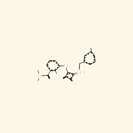 Cc1cccc([C@H](Nc2c(Nc3cccc(C(=O)N(C)C)c3O)c(=O)c2=O)C(C)C)c1